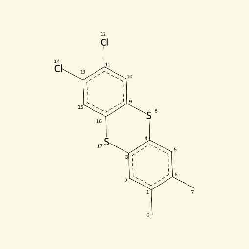 Cc1cc2c(cc1C)Sc1cc(Cl)c(Cl)cc1S2